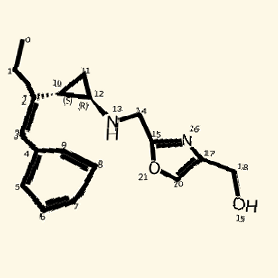 CCC(=Cc1ccccc1)[C@@H]1C[C@H]1NCc1nc(CO)co1